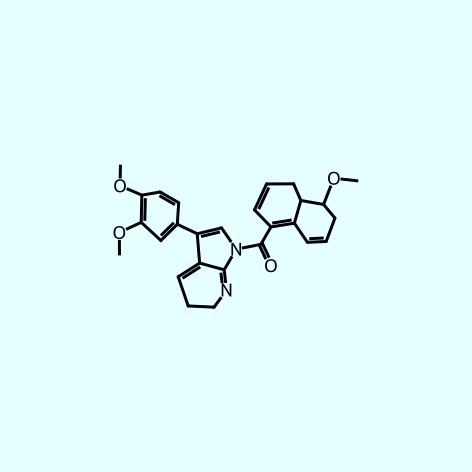 COc1ccc(-c2cn(C(=O)C3=C4C=CCC(OC)C4CC=C3)c3c2=CCCN=3)cc1OC